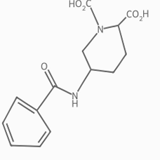 O=C(NC1CCC(C(=O)O)N(C(=O)O)C1)c1ccccc1